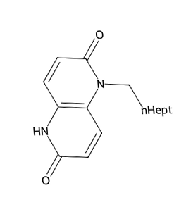 CCCCCCCCn1c(=O)ccc2[nH]c(=O)ccc21